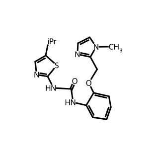 CC(C)c1cnc(NC(=O)Nc2ccccc2OCc2nccn2C)s1